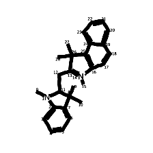 CN1c2ccccc2C(C)(C)C1CC1=[N+](C)c2ccc3ccccc3c2C1(C)C